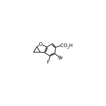 O=C(O)c1cc2c(c(F)c1Br)C1CC1O2